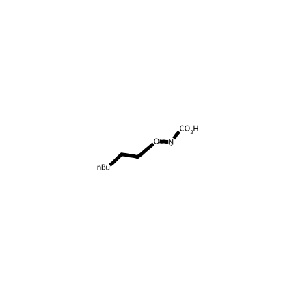 CCCCCCO[N]C(=O)O